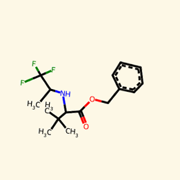 CC(NC(C(=O)OCc1ccccc1)C(C)(C)C)C(F)(F)F